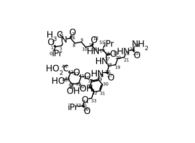 CC(C)C(=O)CN(C)C(=O)CCCC(=O)N[C@H](C(=O)N[C@@H](CCCNC(N)=O)C(=O)Nc1ccc(COC(=O)C(C)C)cc1O[C@@H]1O[C@H](C(=O)O)[C@@H](O)[C@H](O)[C@H]1O)C(C)C